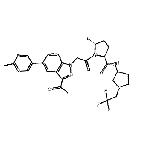 CC(=O)c1nn(CC(=O)N2[C@H](I)CC[C@H]2C(=O)NC2CCN(CC(F)(F)F)C2)c2ccc(-c3cnc(C)nc3)cc12